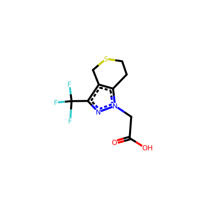 O=C(O)Cn1nc(C(F)(F)F)c2c1CCSC2